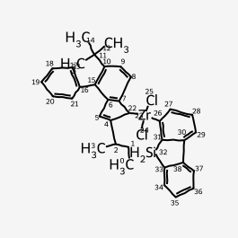 CCC(C)C1=Cc2c(ccc(C(C)(C)C)c2-c2ccccc2)[CH]1[Zr]([Cl])([Cl])[c]1cccc2c1[SiH2]c1ccccc1-2